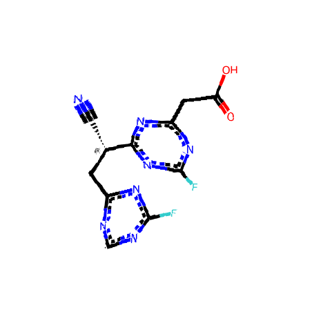 N#C[C@@H](Cc1n[c]nc(F)n1)c1nc(F)nc(CC(=O)O)n1